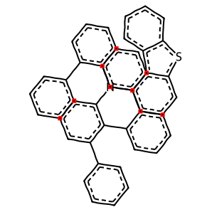 c1ccc(-c2ccccc2-c2c(-c3ccccc3)cccc2N(c2ccccc2-c2ccccc2)c2cccc3sc4ccccc4c23)cc1